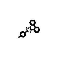 Cc1ccc(-c2nnc(-c3ccccc3-c3ccccc3)o2)cc1